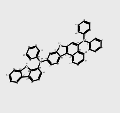 c1ccc(N(c2ccccc2)c2cc3oc4cc(N(c5ccccc5)c5cccc6c5oc5ccccc56)ccc4c3c3ccccc23)cc1